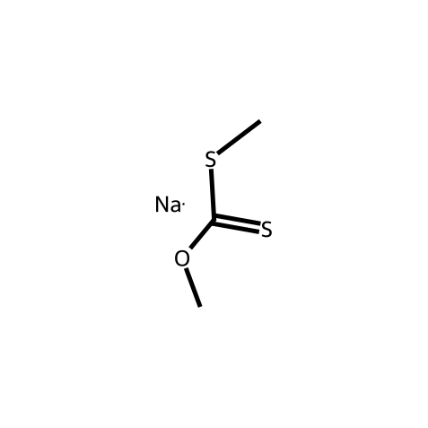 COC(=S)SC.[Na]